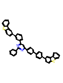 c1ccc(-c2nc(-c3ccc(-c4ccc(-c5ccc6sc7ccccc7c6c5)cc4)cc3)cc(-c3cccc(-c4ccc5sc6ccccc6c5c4)c3)n2)cc1